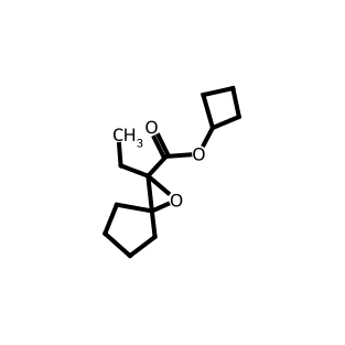 CCC1(C(=O)OC2CCC2)OC12CCCC2